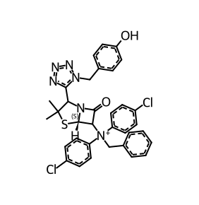 CC1(C)S[C@H]2C([N+](Cc3ccccc3)(c3ccc(Cl)cc3)c3ccc(Cl)cc3)C(=O)N2C1c1nnnn1Cc1ccc(O)cc1